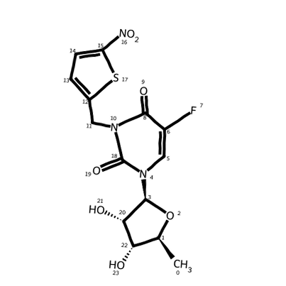 C[C@@H]1O[C@H](n2cc(F)c(=O)n(Cc3ccc([N+](=O)[O-])s3)c2=O)[C@@H](O)[C@H]1O